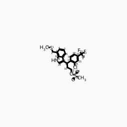 CSCc1cccc2c(C(CCOS(C)(=O)=O)c3ccc(C(F)(F)F)cc3Cl)c[nH]c12